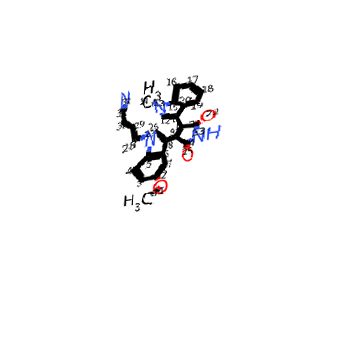 COc1ccc2c(c1)c(C1=C(c3cn(C)c4ccccc34)C(=O)NC1=O)cn2CCCC#N